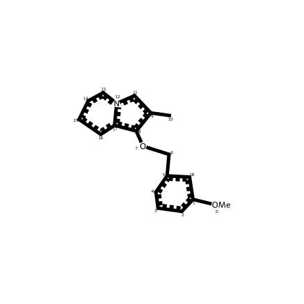 COc1cccc(COc2c(C)[c]n3ccccc23)c1